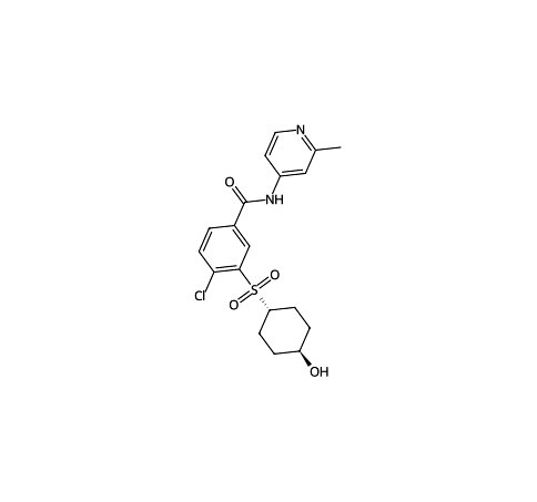 Cc1cc(NC(=O)c2ccc(Cl)c(S(=O)(=O)[C@H]3CC[C@H](O)CC3)c2)ccn1